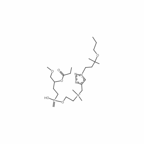 C=P(O)(CCC(COC)OC(=O)CC)OCC[N+](C)(C)Cc1cn(CCC(C)(C)OCCC)nn1